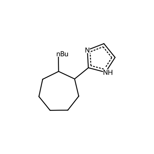 CCCCC1CCCCCC1c1ncc[nH]1